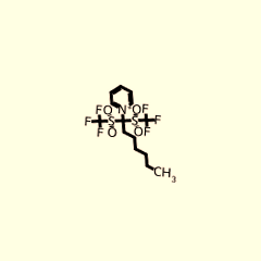 CCCCCCC([n+]1ccccc1)(S(=O)(=O)C(F)(F)F)S(=O)(=O)C(F)(F)F